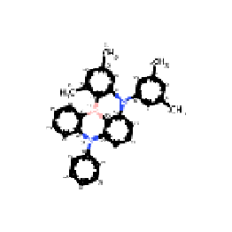 Cc1cc(C)cc(N2c3cc(C)cc(C)c3B3c4ccccc4N(c4ccccc4)c4cccc2c43)c1